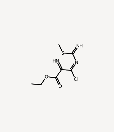 CCOC(=O)C(=N)/C(Cl)=N\C(=N)SC